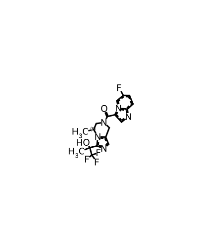 C[C@H]1CN(C(=O)c2cnc3ccc(F)cn23)Cc2cnc(C(C)(O)C(F)(F)F)n21